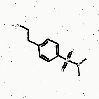 CN(C)S(=O)(=O)c1ccc(CCN)cc1